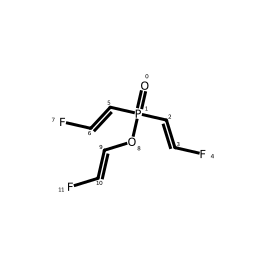 O=P(/C=C/F)(/C=C/F)O/C=C/F